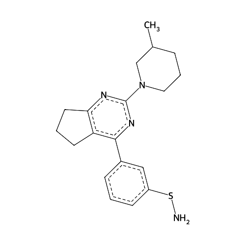 CC1CCCN(c2nc3c(c(-c4cccc(SN)c4)n2)CCC3)C1